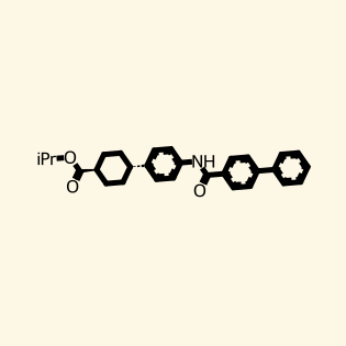 CC(C)OC(=O)[C@H]1CC[C@H](c2ccc(NC(=O)c3ccc(-c4ccccc4)cc3)cc2)CC1